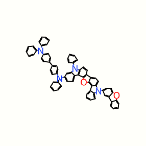 c1ccc(N(c2ccccc2)c2ccc(-c3ccc(N(c4ccccc4)c4ccc5c6c7oc8c(ccc9c8c8ccccc8n9-c8ccc9oc%10ccccc%10c9c8)c7ccc6n(-c6ccccc6)c5c4)cc3)cc2)cc1